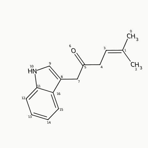 CC(C)=CCC(=O)Cc1c[nH]c2ccccc12